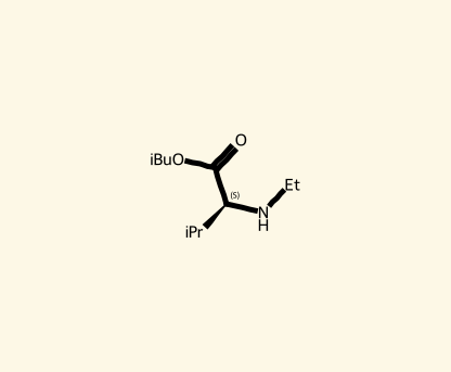 CCN[C@H](C(=O)OCC(C)C)C(C)C